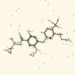 CCNc1nc(Nc2cc(F)c(C(=O)NC(O)C3CC3)cc2OC)ncc1C(F)(F)F